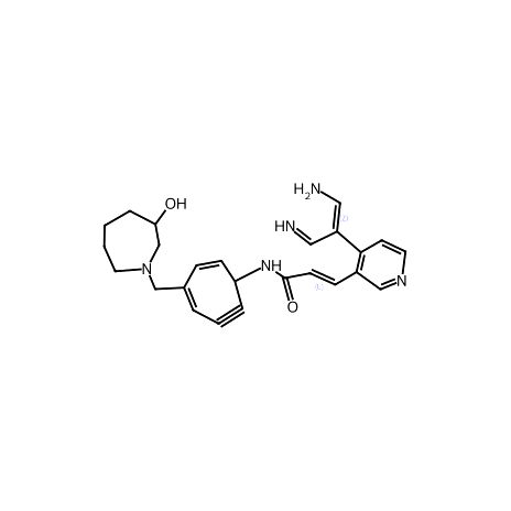 N=C/C(=C\N)c1ccncc1/C=C/C(=O)NC1C#CC=C(CN2CCCCC(O)C2)C=C1